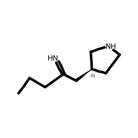 CCCC(=N)C[C@@H]1CCNC1